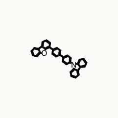 c1ccc2c(c1)oc1c(-c3ccc(-c4ccc(-n5c6ccccc6c6ccccc65)cc4)cc3)cccc12